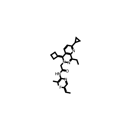 C/C=C(F)\C=N/C(NC(=O)CN1N=C(CC)c2nc(C3CC3)ccc2C1=C1CCC1)=C(C)C